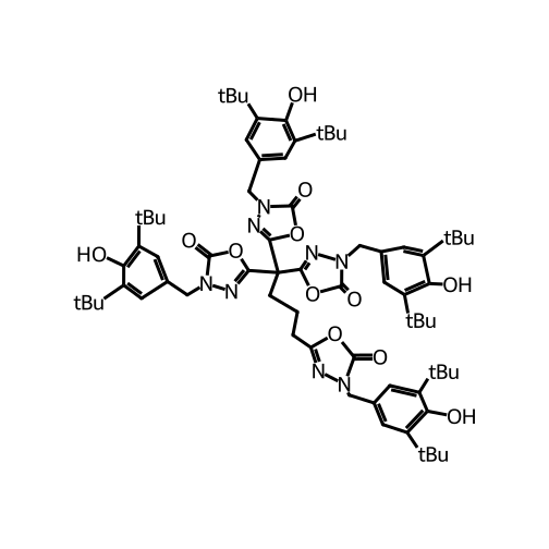 CC(C)(C)c1cc(Cn2nc(CCCC(c3nn(Cc4cc(C(C)(C)C)c(O)c(C(C)(C)C)c4)c(=O)o3)(c3nn(Cc4cc(C(C)(C)C)c(O)c(C(C)(C)C)c4)c(=O)o3)c3nn(Cc4cc(C(C)(C)C)c(O)c(C(C)(C)C)c4)c(=O)o3)oc2=O)cc(C(C)(C)C)c1O